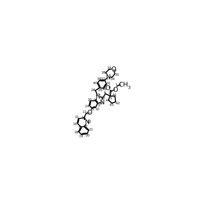 CCOC(=O)C1(Cc2nc3cc(OCc4ccc5ccccc5n4)ccc3n2Cc2ccc(N3CCOCC3)cc2)CCCC1